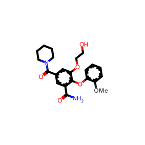 COc1ccccc1Oc1c(OCCO)cc(C(=O)N2CCCCC2)cc1C(N)=O